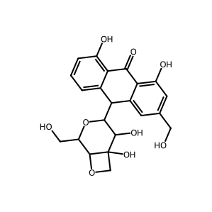 O=C1c2c(O)cccc2C(C2OC(CO)C3OCC3(O)C2O)c2cc(CO)cc(O)c21